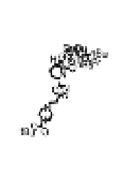 CCCCN(OS(=O)(=O)ON1C(=O)N2C[C@@H]1CC[C@H]2c1nnc(CCN2CCN(C(=O)OC(C)(C)C)CC2)o1)C(CCC)(CCCC)CCCC